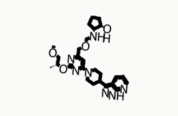 COC[C@@H](C)Oc1nc(COCN[C@@H]2CCC[C@H]2O)cc(N2CCC(c3n[nH]c4ncccc34)CC2)n1